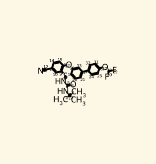 CC(C)(C)NC(=O)NSc1cc(C#N)ccc1Oc1cccc(-c2ccc(OC(F)F)cc2)c1